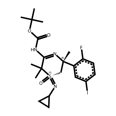 CC(C)(C)OC(=O)NC1=N[C@](C)(c2cc(I)ccc2F)C[S@@](=O)(=NC2CC2)C1(C)C